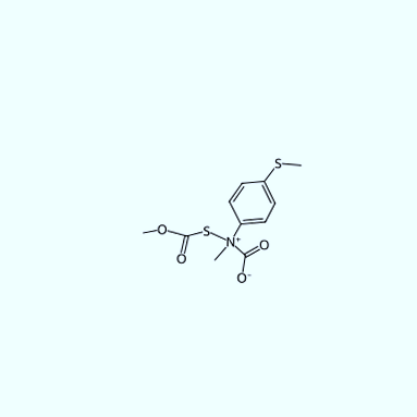 COC(=O)S[N+](C)(C(=O)[O-])c1ccc(SC)cc1